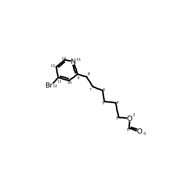 O=[C]OCCCCCCc1cc(Br)ccn1